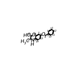 C[C@H](Nc1ccc(OCc2ccccc2)cc1)C(=O)O